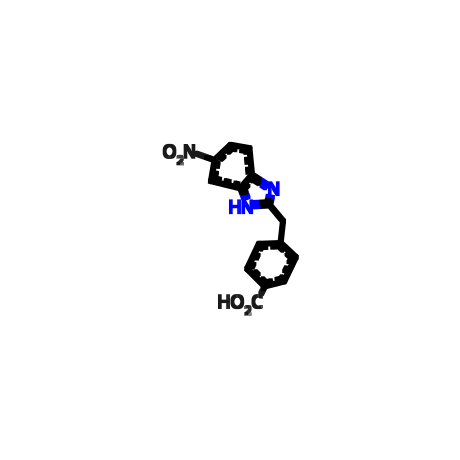 O=C(O)c1ccc(Cc2nc3ccc([N+](=O)[O-])cc3[nH]2)cc1